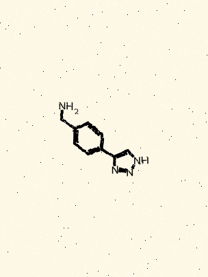 NCc1ccc(-c2c[nH]nn2)cc1